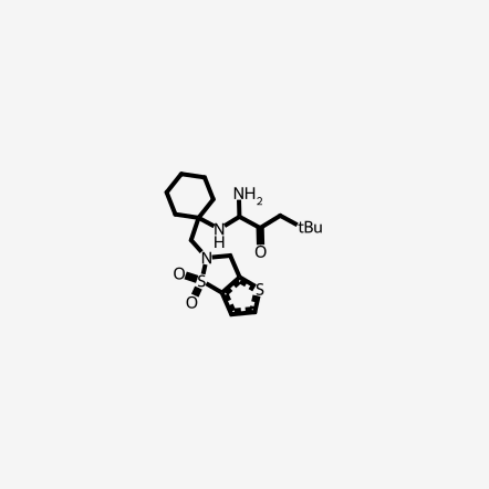 CC(C)(C)CC(=O)C(N)NC1(CN2Cc3sccc3S2(=O)=O)CCCCC1